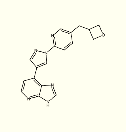 c1cc(-c2cnn(-c3ccc(CC4COC4)cn3)c2)c2nc[nH]c2n1